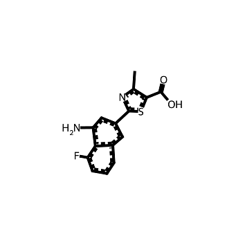 Cc1nc(-c2cc(N)c3c(F)cccc3c2)sc1C(=O)O